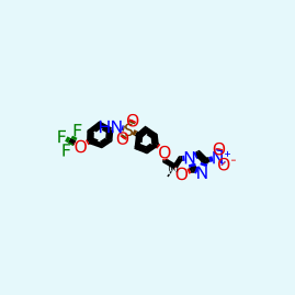 C[C@]1(COc2ccc(S(=O)(=O)Nc3ccc(OC(F)(F)F)cc3)cc2)Cn2cc([N+](=O)[O-])nc2O1